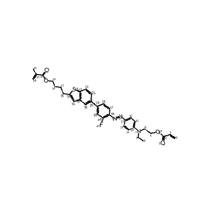 C=CC(=O)OCCN(CC)c1ccc(/N=N/c2ccc(-c3ccc4sc(CCCCOC(=O)C(=C)C)cc4c3)cc2F)cc1